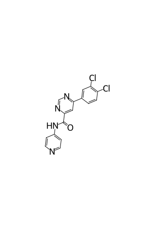 O=C(Nc1ccncc1)c1cc(-c2ccc(Cl)c(Cl)c2)ncn1